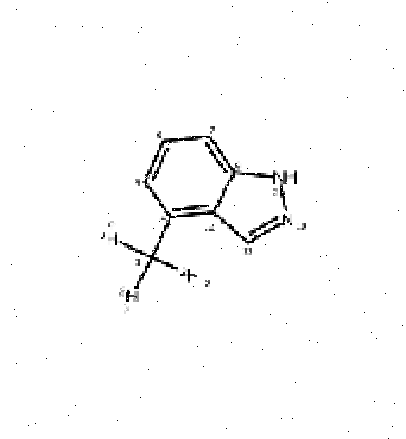 [2H]C([2H])([2H])c1cccc2[nH]ncc12